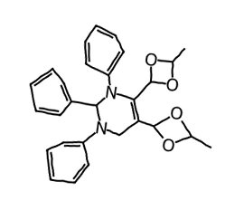 CC1OC(C2=C(C3OC(C)O3)N(c3ccccc3)C(c3ccccc3)N(c3ccccc3)C2)O1